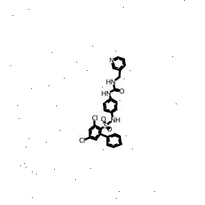 O=C(NCc1cccnc1)Nc1ccc(NS(=O)(=O)c2c(Cl)cc(Cl)cc2-c2ccccc2)cc1